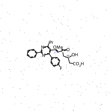 COP(=O)(/C=C/c1c(-c2ccc(F)cc2)nc(-c2ccccc2)nc1C(C)C)C[C@@H](O)CC(=O)O